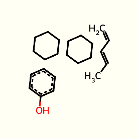 C1CCCCC1.C1CCCCC1.C=CC=CC.Oc1ccccc1